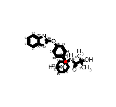 CC(C)(O)C(=O)N[C@H]1CC2C[C@@H](C1)N2Cc1ccc(Oc2nc3ccccc3s2)cc1